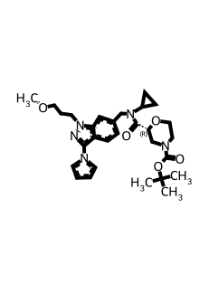 COCCCn1nc(-n2cccc2)c2ccc(CN(C(=O)[C@H]3CN(C(=O)OC(C)(C)C)CCO3)C3CC3)cc21